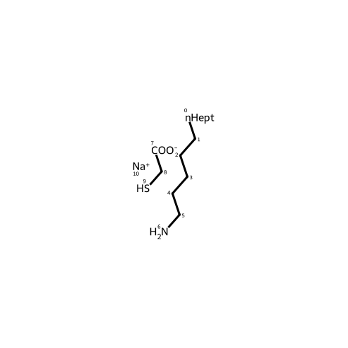 CCCCCCCCCCCCN.O=C([O-])CS.[Na+]